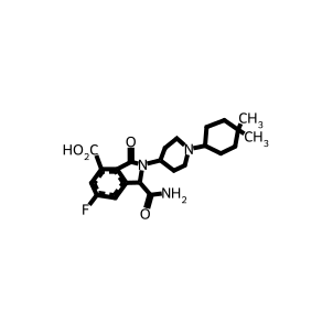 CC1(C)CCC(N2CCC(N3C(=O)c4c(C(=O)O)cc(F)cc4C3C(N)=O)CC2)CC1